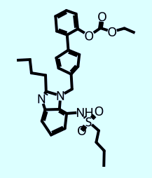 CCCCc1nc2cccc(NS(=O)(=O)CCCC)c2n1Cc1ccc(-c2ccccc2OC(=O)OCC)cc1